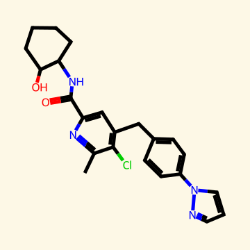 Cc1nc(C(=O)NC2CCCCC2O)cc(Cc2ccc(-n3cccn3)cc2)c1Cl